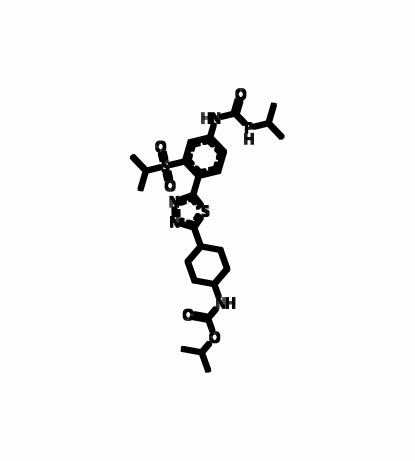 CC(C)OC(=O)NC1CCC(c2nnc(-c3ccc(NC(=O)PC(C)C)cc3S(=O)(=O)C(C)C)s2)CC1